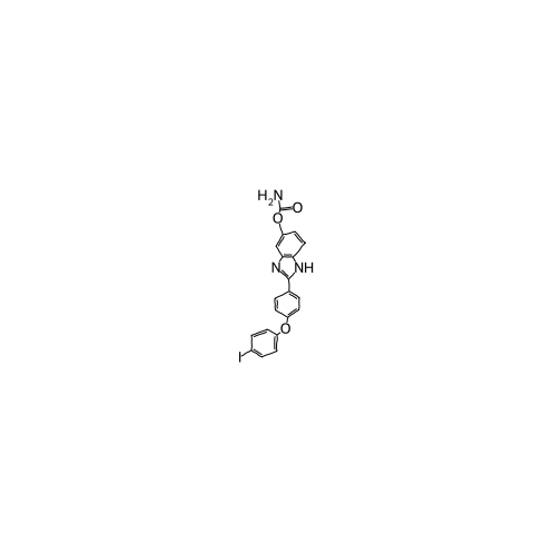 NC(=O)Oc1ccc2[nH]c(-c3ccc(Oc4ccc(I)cc4)cc3)nc2c1